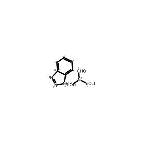 CCCCCCCCN(C=O)CCCCCCCC.c1ccc2[nH]nnc2c1